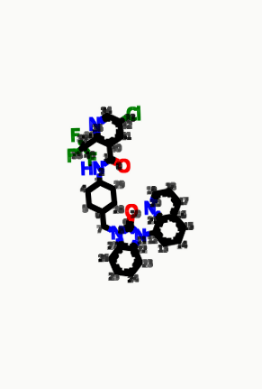 O=C(NC1CCC(Cn2c(=O)n(-c3cccc4cccnc34)c3ccccc32)CC1)c1cc(Cl)cnc1C(F)(F)F